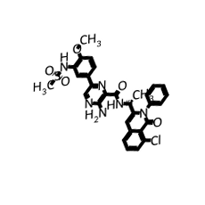 COc1ccc(-c2cnc(N)c(C(=O)N[C@@H](C)c3cc4cccc(Cl)c4c(=O)n3-c3ccccc3)n2)cc1NS(C)(=O)=O